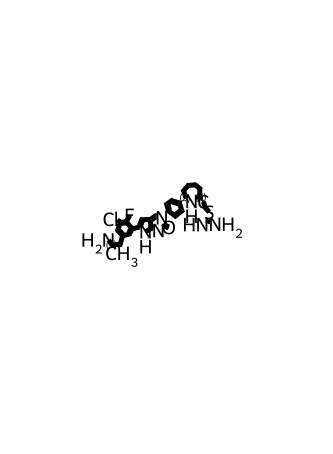 C[C@H](N)Cc1cc(Cl)c(F)c(-c2cc3cn(-c4ccc([C@@H]5CCCC[C@@H](CCSC(=N)N)N5)cc4)c(=O)nc3[nH]2)c1